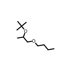 CCCCOCC(C)OC(C)(C)C